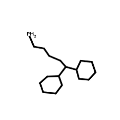 PCCCCC(C1CCCCC1)C1CCCCC1